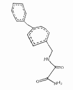 NC(=O)C(=O)NCc1ccc(-c2c[c]ccc2)cc1